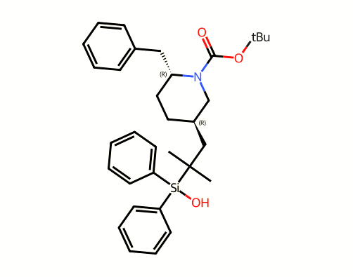 CC(C)(C)OC(=O)N1C[C@@H](CC(C)(C)[Si](O)(c2ccccc2)c2ccccc2)CC[C@@H]1Cc1ccccc1